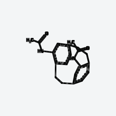 CC(=O)Nc1cc2ccc1CCc1ccc(c(NC(C)=O)c1)CC2